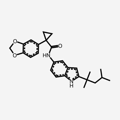 CC(C)CC(C)(C)c1cc2cc(NC(=O)C3(c4ccc5c(c4)OCO5)CC3)ccc2[nH]1